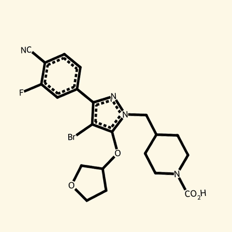 N#Cc1ccc(-c2nn(CC3CCN(C(=O)O)CC3)c(OC3CCOC3)c2Br)cc1F